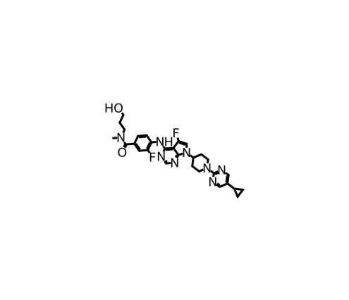 CN(CCCO)C(=O)c1ccc(Nc2ncnc3c2c(F)cn3C2CCN(c3ncc(C4CC4)cn3)CC2)c(F)c1